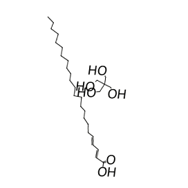 CCCCCCCCCCCCCCCCCCCC=CC=CC(=O)O.OCC(CO)(CO)CO